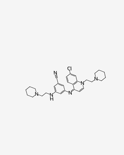 N#Cc1cc(/N=c2/ccn(CCN3CCCCC3)c3cc(Cl)ccc23)cc(NCCN2CCCCC2)c1